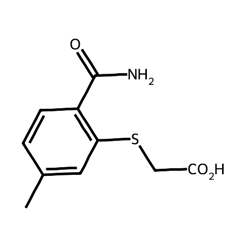 Cc1ccc(C(N)=O)c(SCC(=O)O)c1